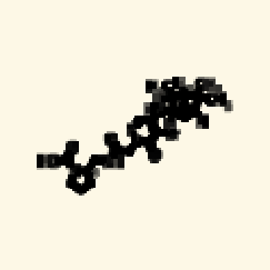 C[C@@H]1[C@H]2C[C@@H](C[C@H]1Nc1cnn(CC(=O)NC[C@H]3CCCN3C(=O)O)c(=O)c1Br)C2(C)C